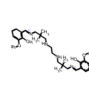 CC(C)OC1=CCCC(/C=N/CC(C)(C)CNCCNCC(C)(C)C/N=C/c2cccc(OC(C)C)c2O)=C1O